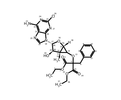 CCOC(=O)C(Cc1ccccc1)(OC1[C@H]2O[C@@H](n3cnc4c(N)nc(Cl)nc43)[C@H](O)[C@@]12C)C(=O)OCC